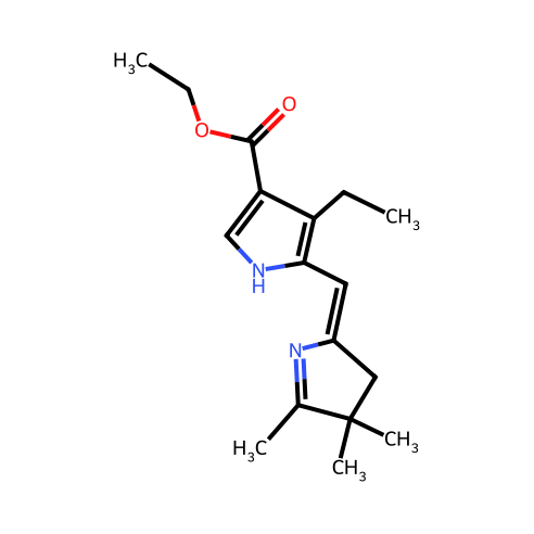 CCOC(=O)c1c[nH]c(/C=C2/CC(C)(C)C(C)=N2)c1CC